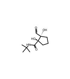 CC(C)(C)NC(=O)[C@@]1(O)CCC[C@]1(O)C=O